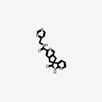 O=C(NCc1ccncn1)c1cc2c(cn1)CC1(C2)C(=O)Nc2ncccc21